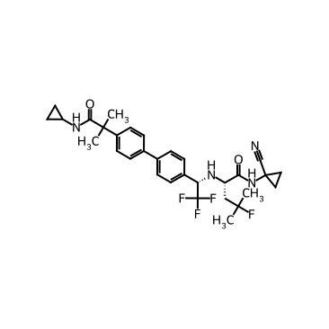 CC(C)(F)C[C@H](N[C@@H](c1ccc(-c2ccc(C(C)(C)C(=O)NC3CC3)cc2)cc1)C(F)(F)F)C(=O)NC1(C#N)CC1